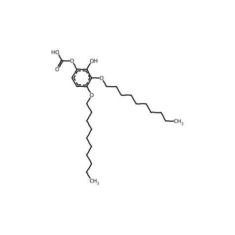 CCCCCCCCCCOc1ccc(OC(=O)O)c(O)c1OCCCCCCCCCC